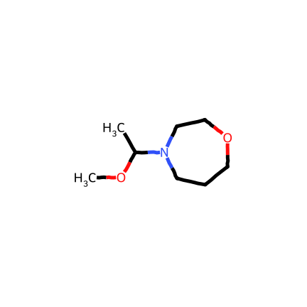 COC(C)N1CCCOCC1